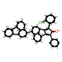 O=C1C(c2ccccc2)=C2C(=C1c1ccccc1Cl)c1ccc(-c3ccc4c5c(cccc35)-c3ccccc3-4)c3cccc2c13